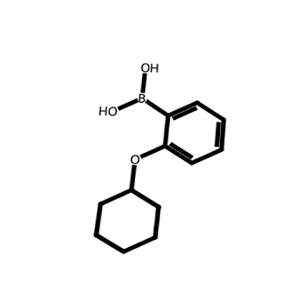 OB(O)c1ccccc1OC1CCCCC1